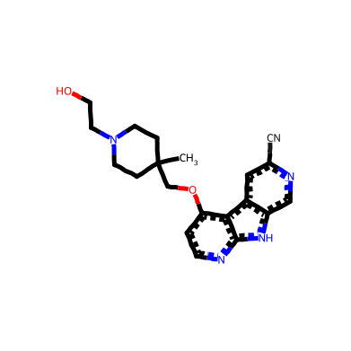 CC1(COc2ccnc3[nH]c4cnc(C#N)cc4c23)CCN(CCO)CC1